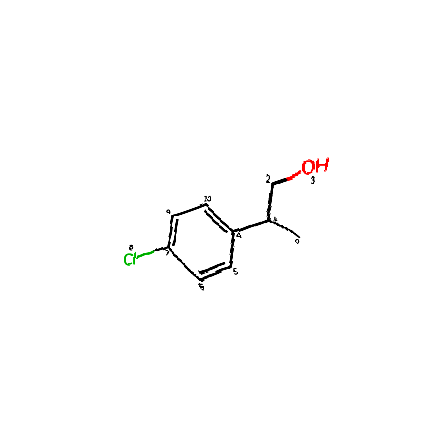 CC(CO)c1ccc(Cl)cc1